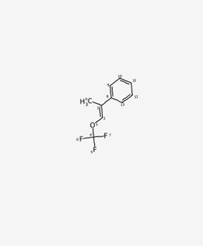 CC(=COC(F)(F)F)c1ccccc1